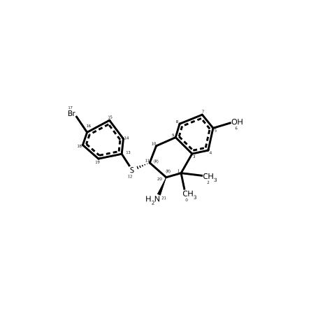 CC1(C)c2cc(O)ccc2C[C@@H](Sc2ccc(Br)cc2)[C@@H]1N